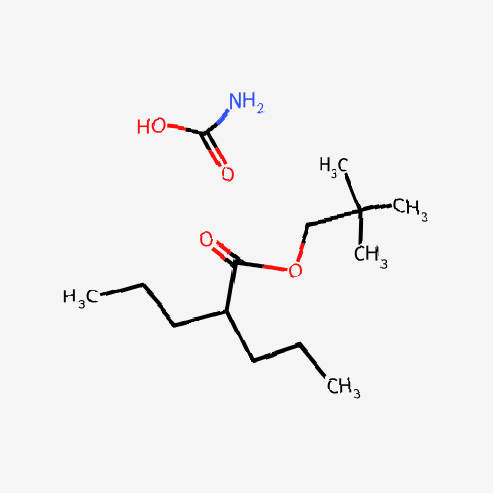 CCCC(CCC)C(=O)OCC(C)(C)C.NC(=O)O